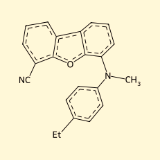 CCc1ccc(N(C)c2cccc3c2oc2c(C#N)cccc23)cc1